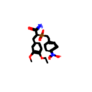 CCOc1ccc(C=C(C(N)=O)S(=O)(=O)Cc2ccc([N+](=O)[O-])cc2)cc1OC